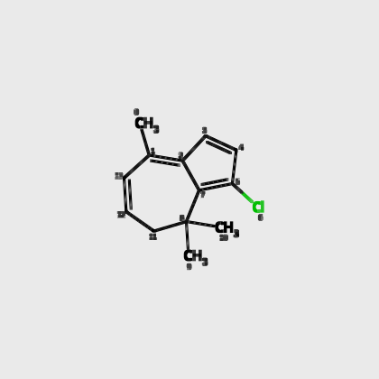 CC1=C2C=CC(Cl)=C2C(C)(C)CC=C1